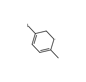 CC1=CC=C(I)C[CH]1